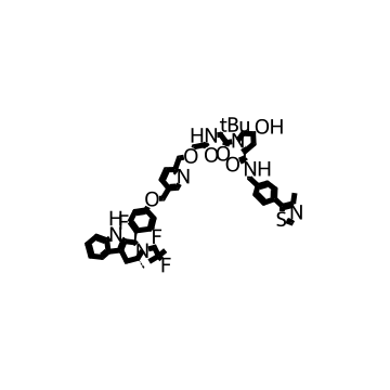 Cc1ncsc1-c1ccc(CNC(=O)[C@@H]2C[C@@H](O)CN2C(=O)[C@@H](NC(=O)COCc2ccc(COc3cc(F)c([C@@H]4c5[nH]c6ccccc6c5C[C@@H](C)N4CC(C)(C)F)c(F)c3)cn2)C(C)(C)C)cc1